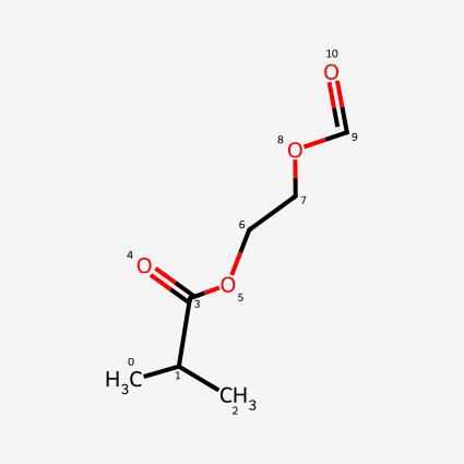 CC(C)C(=O)OCCOC=O